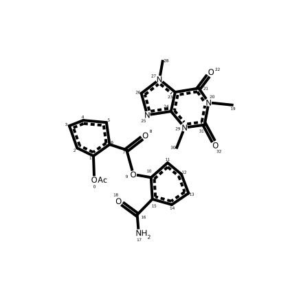 CC(=O)Oc1ccccc1C(=O)Oc1ccccc1C(N)=O.Cn1c(=O)c2c(ncn2C)n(C)c1=O